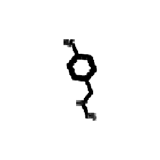 [CH2-][OH+]Cc1ccc(C)cc1